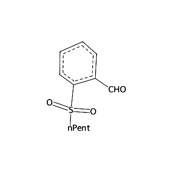 CCCCCS(=O)(=O)c1ccccc1C=O